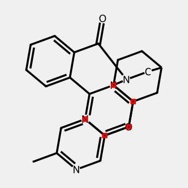 Cc1cnc(OC2CC3CCC2N(C(=O)c2ccccc2-c2ncccn2)C3)cn1